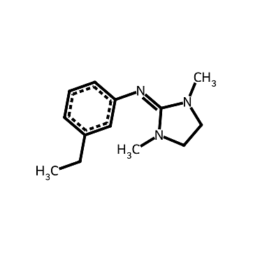 CCc1cccc(N=C2N(C)CCN2C)c1